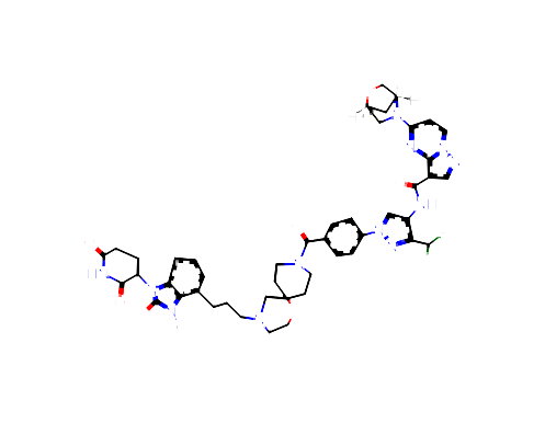 Cn1c(=O)n(C2CCC(=O)NC2=O)c2cccc(CCCN3CCOC4(CCN(C(=O)c5ccc(-n6cc(NC(=O)c7cnn8ccc(N9C[C@H]%10C[C@@H]9CO%10)nc78)c(C(F)F)n6)cc5)CC4)C3)c21